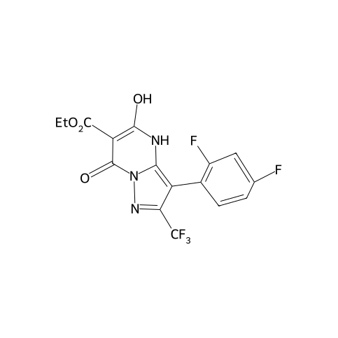 CCOC(=O)c1c(O)[nH]c2c(-c3ccc(F)cc3F)c(C(F)(F)F)nn2c1=O